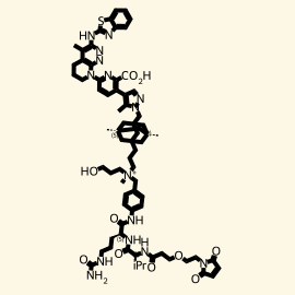 Cc1c(Nc2nc3ccccc3s2)nnc2c1CCCN2c1ccc(-c2cnn(CC34CC5(CCC[N+](C)(CCCO)Cc6ccc(NC(=O)[C@H](CCCNC(N)=O)NC(=O)[C@@H](NC(=O)CCOCCN7C(=O)C=CC7=O)C(C)C)cc6)C[C@@](C)(C3)C[C@](C)(C5)C4)c2C)c(C(=O)O)n1